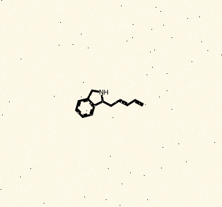 [CH]=CC=CCC1NCc2ccccc21